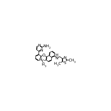 Cc1nc(CNc2cccc3c(Oc4ncccc4-c4ccnc(N)n4)c(C)ccc23)c(C)s1